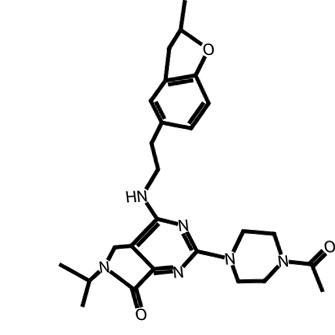 CC(=O)N1CCN(c2nc(NCCc3ccc4c(c3)CC(C)O4)c3c(n2)C(=O)N(C(C)C)C3)CC1